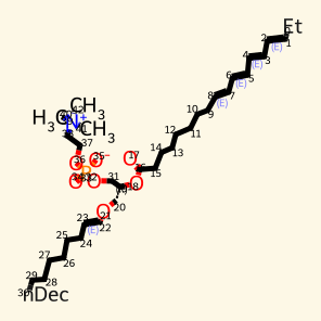 CC/C=C/C=C/C=C/C=C/CCCCCCCC(=O)O[C@H](CO/C=C/CCCCCCCCCCCCCCCC)COP(=O)([O-])OCC[N+](C)(C)C